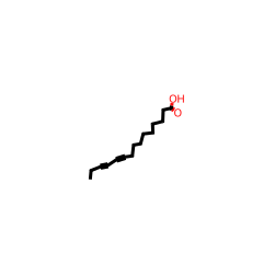 CCC#CC#CCCCCCCCCC(=O)O